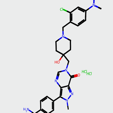 CN(C)c1ccc(CN2CCC(O)(Cn3cnc4c(-c5ccc(CN)cc5)n(C)nc4c3=O)CC2)c(Cl)c1.Cl.Cl